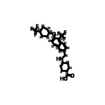 O=C(O)[C@H]1CC[C@@H](NCc2ccc3c(C(F)(F)F)c(OC4CCC(C(F)(F)F)CC4)ccc3c2)CC1